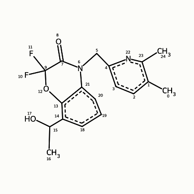 Cc1ccc(CN2C(=O)C(F)(F)Oc3c(C(C)O)cccc32)nc1C